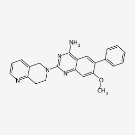 COc1cc2nc(N3CCc4ncccc4C3)nc(N)c2cc1-c1ccccc1